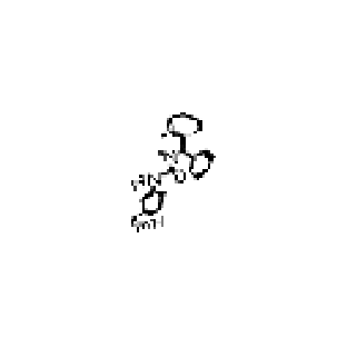 CN1CCCC[C@@H]1[C@H](c1ccccc1)N(C)C(=O)Nc1ccc2[nH]ncc2c1